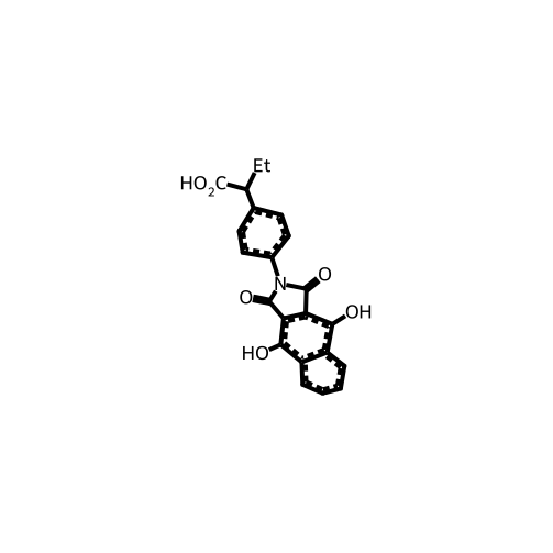 CCC(C(=O)O)c1ccc(N2C(=O)c3c(c(O)c4ccccc4c3O)C2=O)cc1